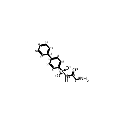 NCC(=O)NS(=O)(=O)c1ccc(-c2ccccc2)cc1